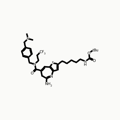 CN(C)Cc1ccc(CN(CCC(F)(F)F)C(=O)C2=Cc3sc(CCCCCNC(=O)OC(C)(C)C)cc3N=C(N)C2)cc1